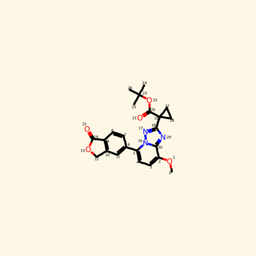 COc1ccc(-c2ccc3c(c2)COC3=O)n2nc(C3(C(=O)OC(C)(C)C)CC3)nc12